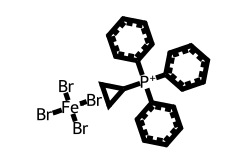 [Br][Fe-]([Br])([Br])[Br].c1ccc([P+](c2ccccc2)(c2ccccc2)C2CC2)cc1